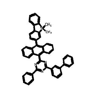 C[Si]1(C)c2ccccc2-c2ccc(-c3c4ccccc4c(-c4nc(-c5ccccc5)nc(-c5cccc(-c6ccccc6)c5)n4)c4ccccc34)cc21